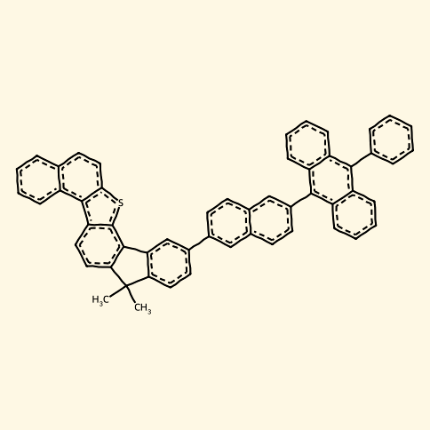 CC1(C)c2ccc(-c3ccc4cc(-c5c6ccccc6c(-c6ccccc6)c6ccccc56)ccc4c3)cc2-c2c1ccc1c2sc2ccc3ccccc3c21